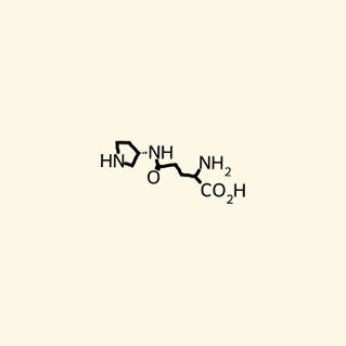 NC(CCC(=O)N[C@H]1CCNC1)C(=O)O